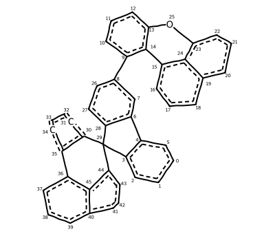 c1ccc2c(c1)-c1cc(-c3cccc4c3-c3cccc5cccc(c35)O4)ccc1C21c2ccccc2-c2cccc3cccc1c23